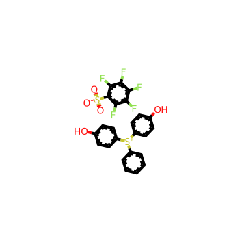 O=S(=O)([O-])c1c(F)c(F)c(F)c(F)c1F.Oc1ccc([S+](c2ccccc2)c2ccc(O)cc2)cc1